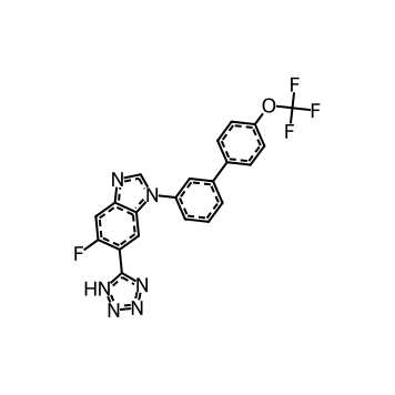 Fc1cc2ncn(-c3cccc(-c4ccc(OC(F)(F)F)cc4)c3)c2cc1-c1nnn[nH]1